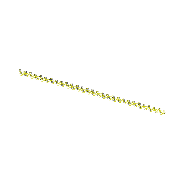 S=S=S=S=S=S=S=S=S=S=S=S=S=S=S=S=S=S=S=S=S=S=S=S=S=S=S=S=S=S=S=S=S=S=S=S=S=S=S=S=S=S=S=S=S=S=S=S=S=S=S=S=S=S=S=S=S